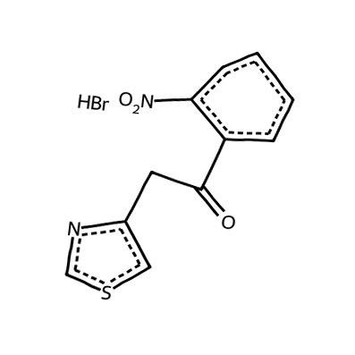 Br.O=C(Cc1cscn1)c1ccccc1[N+](=O)[O-]